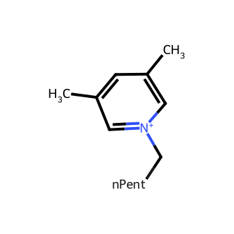 CCCCCC[n+]1cc(C)cc(C)c1